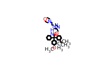 COc1ccc(C2(c3cc(C(C)(C)C)ccc3OCc3cn(CCN4CCOCC4)nn3)C(=O)Nc3ccccc32)cc1